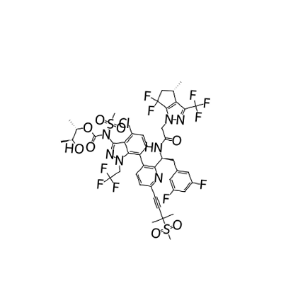 C[C@H](O)[C@H](C)OC(=O)N(c1nn(CC(F)(F)F)c2c(-c3ccc(C#CC(C)(C)S(C)(=O)=O)nc3[C@H](Cc3cc(F)cc(F)c3)NC(=O)Cn3nc(C(F)(F)F)c4c3C(F)(F)C[C@@H]4C)ccc(Cl)c12)S(C)(=O)=O